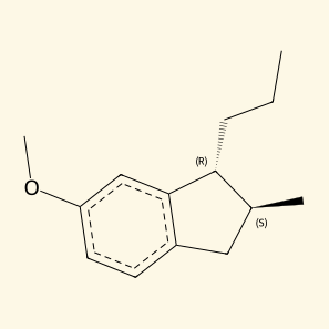 CCC[C@H]1c2cc(OC)ccc2C[C@@H]1C